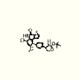 CCC(NC(=O)OC(C)(C)C)c1ccc(-c2c(OC)cc(Cl)c3[nH]c(=O)c4sccc4c23)cc1